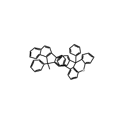 CC1(c2ccccc2)c2cc(-c3cccc4c3C(c3ccccc3)(c3ccccc3)c3ccccc3O4)ccc2-c2ccc3ccccc3c21